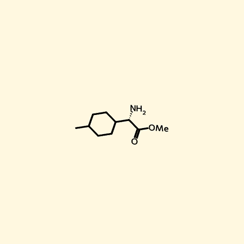 COC(=O)[C@@H](N)C1CCC(C)CC1